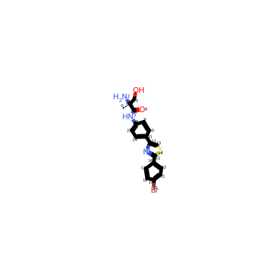 C[C@](N)(CO)C(=O)Nc1ccc(-c2csc(-c3ccc(Br)cc3)n2)cc1